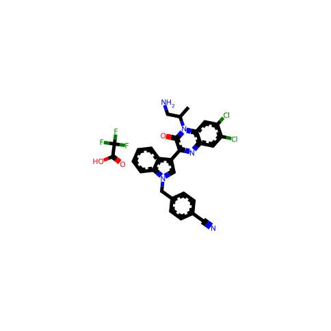 CC(CN)n1c(=O)c(-c2cn(Cc3ccc(C#N)cc3)c3ccccc23)nc2cc(Cl)c(Cl)cc21.O=C(O)C(F)(F)F